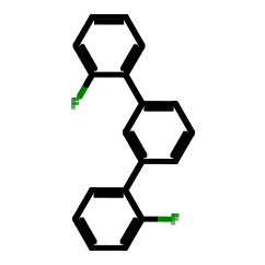 Fc1ccccc1-c1cccc(-c2ccccc2F)c1